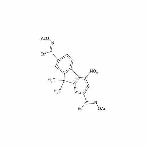 CC/C(=N\OC(C)=O)c1ccc2c(c1)C(C)(C)c1cc(/C(CC)=N/OC(C)=O)cc([N+](=O)[O-])c1-2